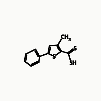 Cc1cc(-c2ccccc2)sc1C(=S)S